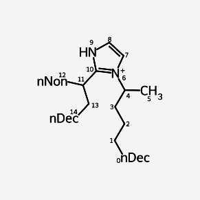 CCCCCCCCCCCCCC(C)[n+]1cc[nH]c1C(CCCCCCCCC)CCCCCCCCCCC